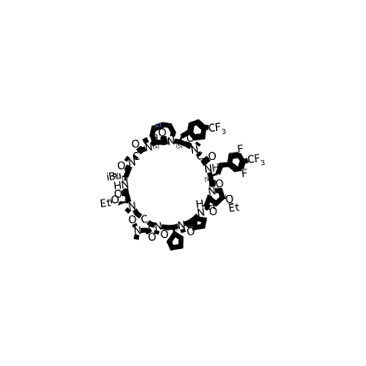 CCOC[C@H]1C(=O)N[C@@H]([C@@H](C)CC)C(=O)N(C)CC(=O)N(C)[C@H]2C/C=C\CCN(C2=O)[C@@H](Cc2ccc(C(F)(F)F)cc2)C(=O)N(C)CC(=O)N[C@@H](CCc2cc(F)c(C(F)(F)F)c(F)c2)C(=O)N2C[C@H](OCC)C[C@H]2C(=O)NC2(CCC2)C(=O)N(C)[C@@H](C2CCCC2)C(=O)N(C)[C@H](C(=O)N(C)C)CC(=O)N1C